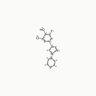 Oc1c(F)cc(-c2cnn(-c3ccccc3)c2)cc1Cl